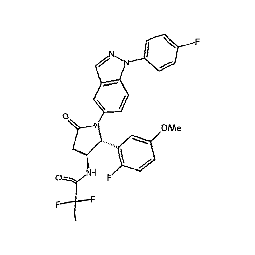 COc1ccc(F)c([C@@H]2[C@@H](NC(=O)C(C)(F)F)CC(=O)N2c2ccc3c(cnn3-c3ccc(F)cc3)c2)c1